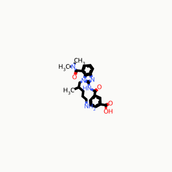 CC(CCCN)Cn1c(NC(=O)c2cccc(C(=O)O)c2)nc2cccc(C(=O)N(C)C)c21